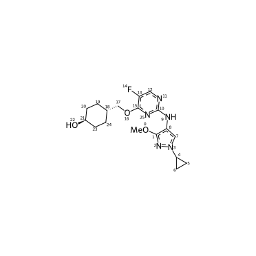 COc1nn(C2CC2)cc1Nc1ncc(F)c(OC[C@H]2CC[C@H](O)CC2)n1